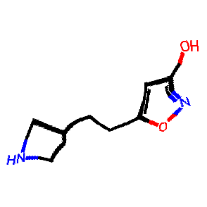 Oc1cc(CCC2CNC2)on1